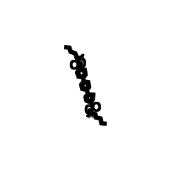 CCCCC[C@@H](C)OC(=O)c1ccc(-c2ccc(-c3ccc(C(=O)O[C@H](C)CCCCC)cc3)cc2)cc1